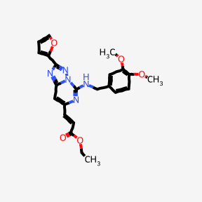 CCOC(=O)/C=C/c1cc2nc(-c3ccco3)nn2c(NCc2ccc(OC)c(OC)c2)n1